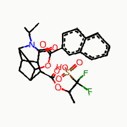 CC(C)N1C(=O)C2C3CC(C(OC(=O)c4ccc5ccccc5c4)C31)C2C(=O)OC(C)C(F)(F)S(=O)(=O)O